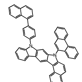 c1ccc2c(-c3ccc(-n4c5ccccc5c5cc6c7c8ccccc8ccc7n(-c7cc8ccccc8c8ccccc78)c6cc54)cc3)cccc2c1